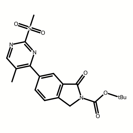 Cc1cnc(S(C)(=O)=O)nc1-c1ccc2c(c1)C(=O)N(C(=O)OC(C)(C)C)C2